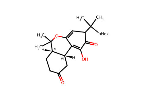 CCCCCCC(C)(C)C1C=C2OC(C)(C)[C@H]3CCC(=O)C[C@H]3C2=C(O)C1=O